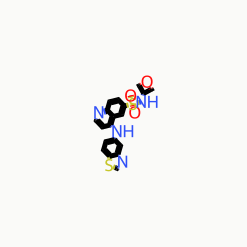 O=S(=O)(NC1COC1)c1ccc2nccc(Nc3ccc4scnc4c3)c2c1